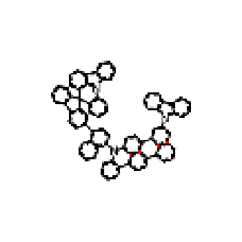 c1ccc(-c2ccc(-c3ccccc3N(c3ccc(-c4cccc(-n5c6ccccc6c6ccccc65)c4)cc3)c3ccc(-c4ccc5c(c4)C4(c6ccccc6-5)c5ccccc5-n5c6ccccc6c6cccc4c65)c4ccccc34)cc2)cc1